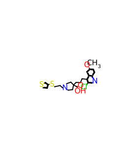 COc1ccc2ncc(Cl)c(CCCC3(C(=O)O)CCN(CCCSc4ccsc4)CC3)c2c1